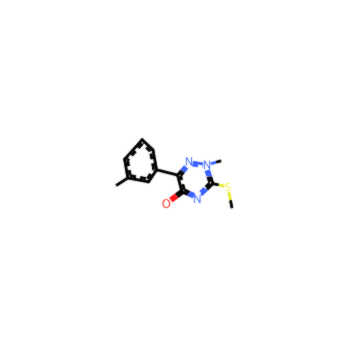 CSc1nc(=O)c(-c2cccc(C)c2)nn1C